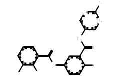 Cc1ccc(NC(=O)c2cccc(Cl)c2Cl)cc1C(=O)Nc1cnc(N)nc1